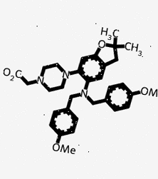 COc1ccc(CN(Cc2ccc(OC)cc2)c2cc3c(cc2N2CCN(CC(=O)O)CC2)OC(C)(C)C3)cc1